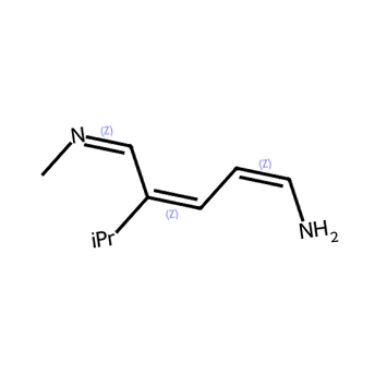 C\N=C/C(=C\C=C/N)C(C)C